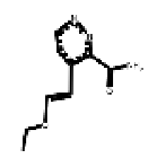 CCOC=Cc1ccnnc1C(N)=O